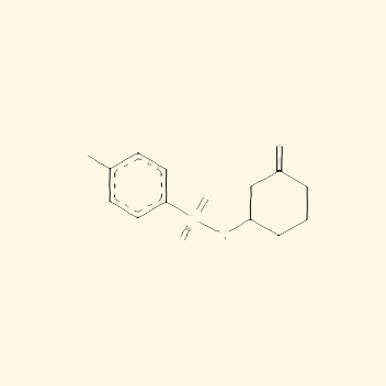 O=C1CCCC(NS(=O)(=O)c2ccc(F)cc2)C1